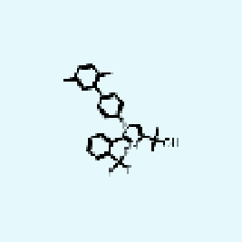 Cc1ccc(C)c(-c2ccc(-n3cc(C(C)(C)O)nc3-c3ccccc3C(F)(F)F)cc2)c1